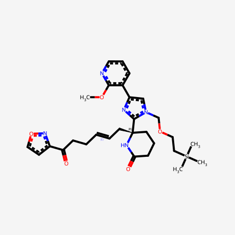 COc1ncccc1-c1cn(COCC[Si](C)(C)C)c([C@]2(C/C=C/CCC(=O)c3ccon3)CCCC(=O)N2)n1